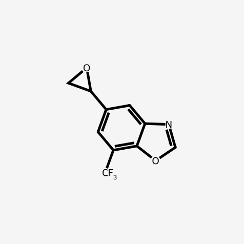 FC(F)(F)c1cc(C2CO2)cc2ncoc12